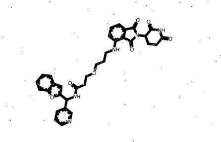 O=C1CCC(N2C(=O)c3cccc(NCCCOCCC(=O)NC(c4cccnc4)c4cc5ccccc5o4)c3C2=O)C(=O)N1